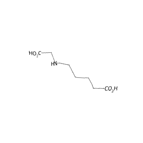 O=C(O)CCCCNCC(=O)O